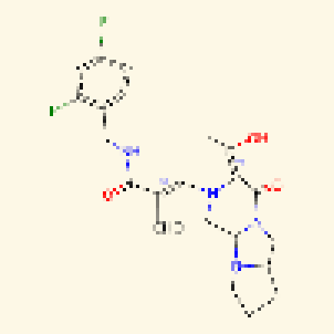 C/C(O)=C1/C(=O)N2CC3CCCN3C2CN1/C=C(\C=O)C(=O)NCc1ccc(F)cc1F